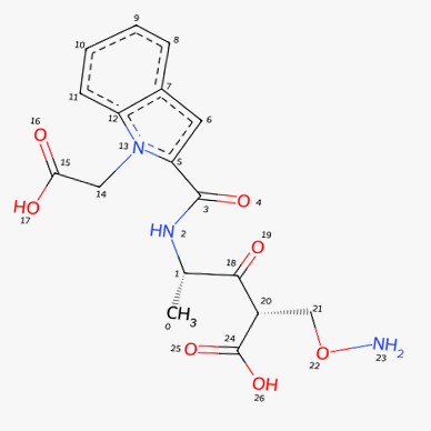 C[C@H](NC(=O)c1cc2ccccc2n1CC(=O)O)C(=O)[C@H](CON)C(=O)O